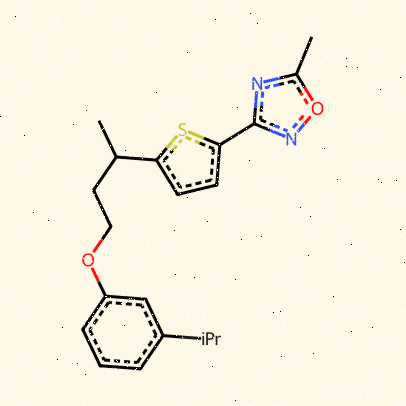 Cc1nc(-c2ccc(C(C)CCOc3cccc(C(C)C)c3)s2)no1